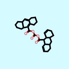 O=C(OC(=O)C1=C2CCCCC2=CC2CCCCC12)OC(=O)C1C2C=CCCC2CC2CCC=CC21